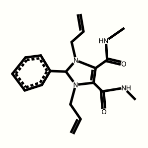 C=CCN1C(C(=O)NC)=C(C(=O)NC)N(CC=C)C1c1ccccc1